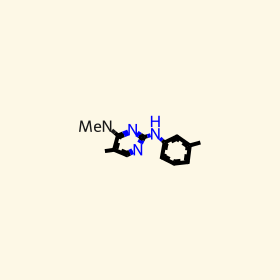 CNc1nc(Nc2cccc(C)c2)ncc1C